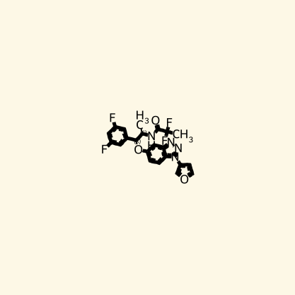 C[C@H](NC(=O)C(C)(F)F)[C@H](Oc1ccc2c(c1)nnn2-c1ccoc1)c1cc(F)cc(F)c1